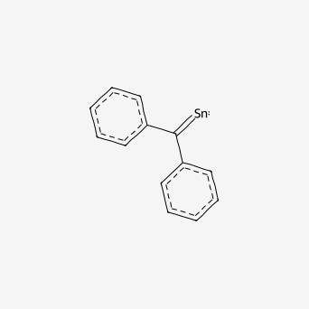 [Sn]=[C](c1ccccc1)c1ccccc1